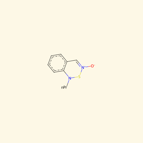 CCCN1S[N+]([O-])=Cc2ccccc21